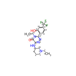 CCN1CCC[C@@H](Nc2nnc(-c3ccc(C(F)(F)F)cc3O)n(CC)c2=O)C1